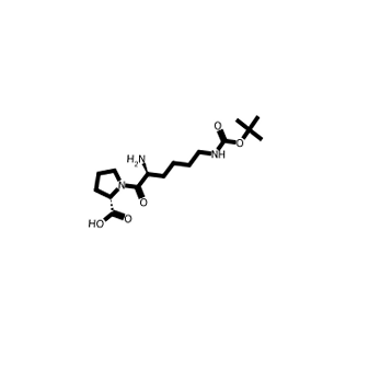 CC(C)(C)OC(=O)NCCCC[C@H](N)C(=O)N1CCC[C@H]1C(=O)O